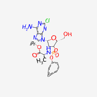 CC(C)OC(=O)[C@H](C)NP(=O)(Oc1ccccc1)OC1C[C@H](n2cnc3c(N)nc(Cl)nc32)O[C@@H]1CO